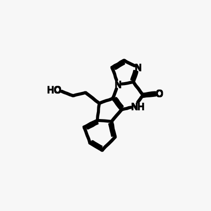 O=c1[nH]c2c(n3ccnc13)C(CCO)c1ccccc1-2